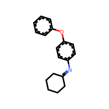 c1ccc(Oc2ccc(N=C3CCCCC3)cc2)cc1